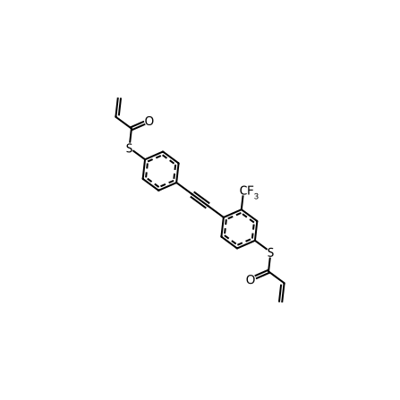 C=CC(=O)Sc1ccc(C#Cc2ccc(SC(=O)C=C)cc2C(F)(F)F)cc1